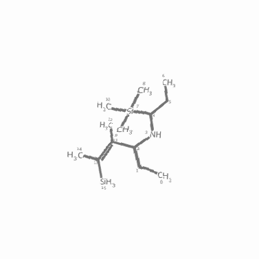 CCC(NC(CC)[Si](C)(C)C)C(C)=C(C)[SiH3]